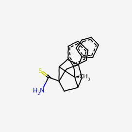 C[C@@]1(c2ccccc2)C2CC3(c4ccccc4)CC1C(C(N)=S)(C2)C3